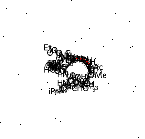 CCC(=O)OCOC(=O)N[C@@H](CCC(=O)NC(P(=O)(O)O)P(=O)(O)O)C(=O)N(C)CC(=O)O[C@@H]1[C@@H](C)[C@@H](O)[C@@H](C)[C@H](OC(C)=O)[C@H](C)[C@@H](OC)/C=C/OC(C)(C)Oc2c(C)c(O)c3c(c2C=O)C2=NC4(CCN(CC(C)C)CC4)NC2=C(NC(=O)/C(C)=C\C=C\[C@@H]1C)C3=O